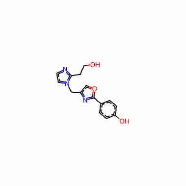 OCCc1nccn1Cc1coc(-c2ccc(O)cc2)n1